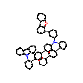 C1=CC(c2ccc(-c3ccccc3N(c3ccc(-c4ccc(-c5ccccc5-n5c6ccccc6c6ccccc65)cc4)cc3)c3cccc(-c4cccc5c4oc4ccccc45)c3)cc2)=CCC1